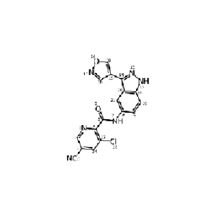 N#Cc1cnc(C(=O)Nc2ccc3[nH]nc(-c4cnoc4)c3c2)c(Cl)c1